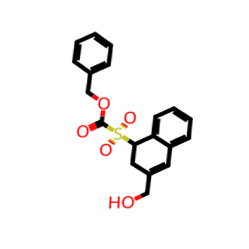 O=C(OCc1ccccc1)S(=O)(=O)C1CC(CO)=Cc2ccccc21